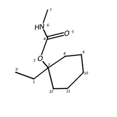 CCC1(OC(=O)NC)CCCCC1